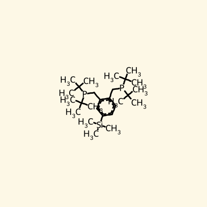 CC(C)(C)P(Cc1ccc([Si](C)(C)C)cc1CP(C(C)(C)C)C(C)(C)C)C(C)(C)C